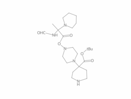 CC(C)(C)OC(=O)C1(N2CCN(OC(=O)C(C)(NC=O)N3CCCCC3)CC2)CCNCC1